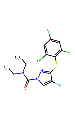 CCN(CC)C(=O)n1cc(F)c(Sc2c(Cl)cc(Cl)cc2Cl)n1